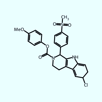 COc1ccc(OC(=O)N2CCc3c([nH]c4c3=CC(Cl)CC=4)C2c2ccc(S(C)(=O)=O)cc2)cc1